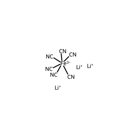 N#[C][Fe-3]([C]#N)([C]#N)([C]#N)([C]#N)[C]#N.[Li+].[Li+].[Li+]